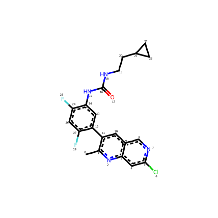 Cc1nc2cc(Cl)ncc2cc1-c1cc(NC(=O)NCCC2CC2)c(F)cc1F